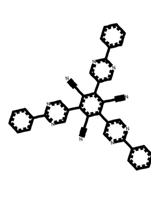 N#Cc1c(-c2cnc(-c3ccccc3)nc2)c(C#N)c(-c2cnc(-c3ccccc3)nc2)c(C#N)c1-c1cnc(-c2ccccc2)nc1